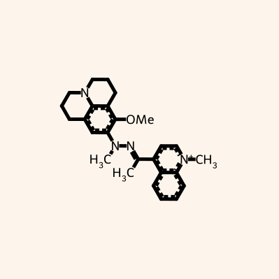 COc1c(N(C)/N=C(\C)c2cc[n+](C)c3ccccc23)cc2c3c1CCCN3CCC2